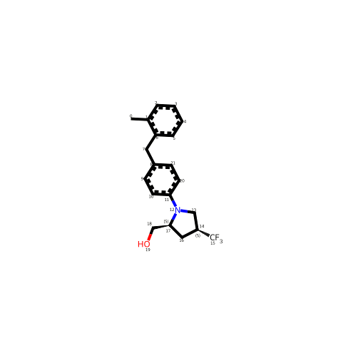 Cc1ccccc1Cc1ccc(N2C[C@@H](C(F)(F)F)C[C@H]2CO)cc1